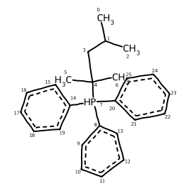 CC(C)CC(C)(C)[PH](c1ccccc1)(c1ccccc1)c1ccccc1